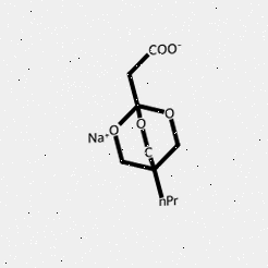 CCCC12COC(CC(=O)[O-])(OC1)OC2.[Na+]